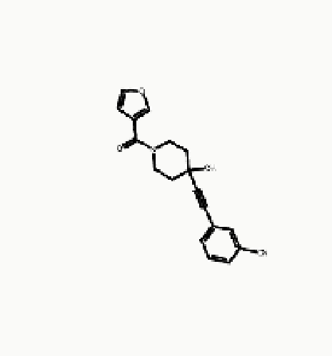 N#Cc1cccc(C#CC2(O)CCN(C(=O)c3ccoc3)CC2)c1